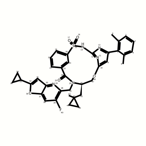 Cc1cccc(C)c1-c1cc2nc(n1)NS(=O)(=O)c1cccc(c1)C(=O)N(Cc1nc3cc(C4CC4)oc3cc1F)[C@H](CC1(C)CC1)CO2